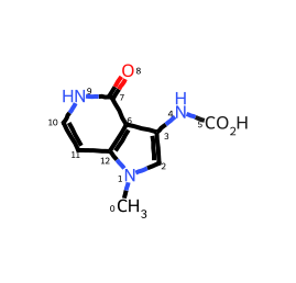 Cn1cc(NC(=O)O)c2c(=O)[nH]ccc21